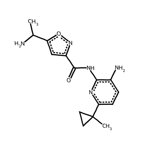 CC(N)c1cc(C(=O)Nc2nc(C3(C)CC3)ccc2N)no1